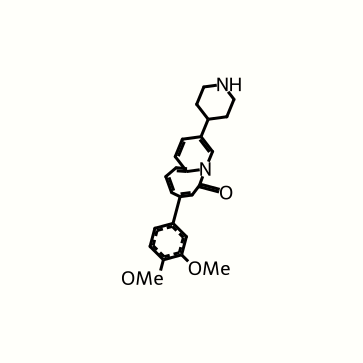 COc1ccc(C2=C\C(=O)N3C=C(C4CCNCC4)C=C\C3=C/C=C/2)cc1OC